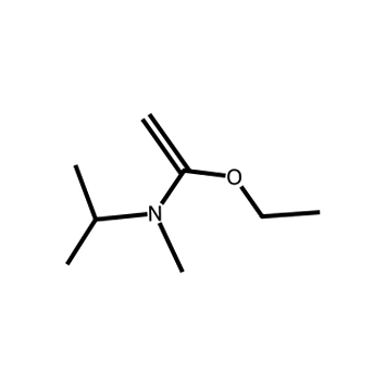 C=C(OCC)N(C)C(C)C